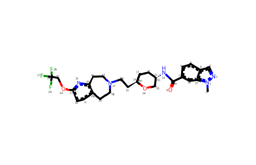 Cn1ncc2ccc(C(=O)N[C@H]3CC[C@H](CCN4CCc5ccc(OCC(F)(F)F)nc5CC4)OC3)cc21